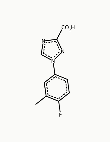 Cc1cc(-n2cnc(C(=O)O)n2)ccc1F